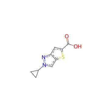 O=C(O)c1cc2nn(C3CC3)cc2s1